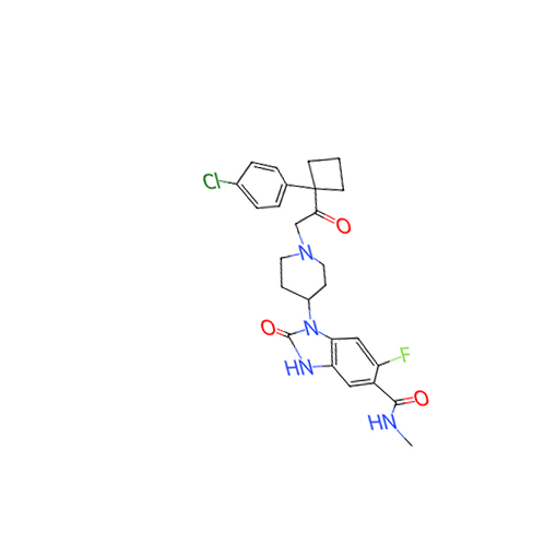 CNC(=O)c1cc2[nH]c(=O)n(C3CCN(CC(=O)C4(c5ccc(Cl)cc5)CCC4)CC3)c2cc1F